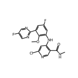 CNC(=O)c1cnc(Cl)cc1Nc1cc(F)cc(-c2ncc(F)cn2)c1OC